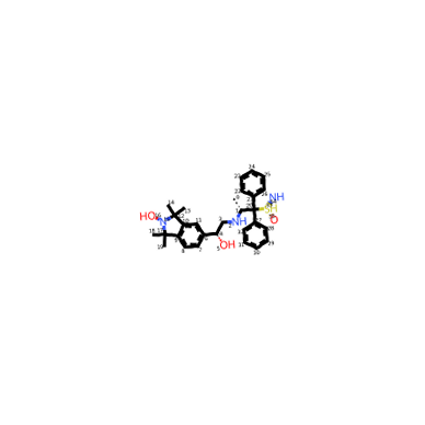 C[C@@H](NC[C@H](O)c1ccc2c(c1)C(C)(C)N(O)C2(C)C)C(c1ccccc1)(c1ccccc1)[SH](=N)=O